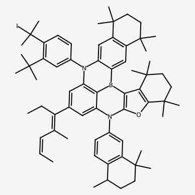 C/C=C\C(C)=C(/CC)c1cc2c3c(c1)N(c1ccc4c(c1)C(C)(C)CCC4C)c1oc4c(c1B3c1cc3c(cc1N2c1ccc(C(C)(C)I)c(C(C)(C)C)c1)C(C)(C)CCC3(C)C)C(C)(C)CCC4(C)C